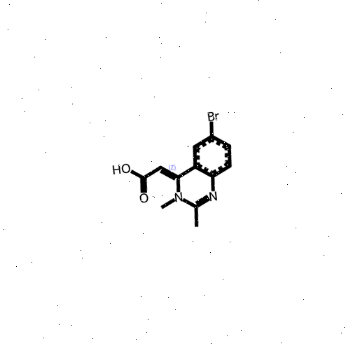 CC1=Nc2ccc(Br)cc2/C(=C/C(=O)O)N1C